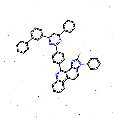 CCc1nc2c3c(-c4ccc(-c5nc(-c6ccccc6)cc(-c6cccc(-c7ccccc7)c6)n5)cc4)nc4ccccc4c3ccc2n1-c1ccccc1